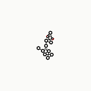 c1ccc(-c2cccc(N(c3ccc(-c4cccc5c4-c4ccccc4C54c5ccccc5-n5c6ccccc6c6cccc4c65)cc3)c3cccc4c3-c3ccccc3C43c4ccccc4-c4ccccc43)c2)cc1